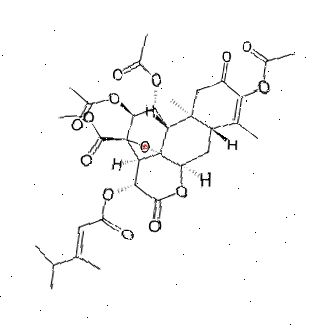 COC(=O)[C@]12OC[C@]34[C@H]([C@@H](OC(C)=O)[C@@H]1OC(C)=O)[C@@]1(C)CC(=O)C(OC(C)=O)=C(C)[C@@H]1C[C@H]3OC(=O)[C@H](OC(=O)/C=C(\C)C(C)C)[C@@H]24